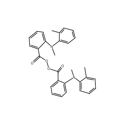 Cc1ccccc1N(C)c1ccccc1C(=O)OOC(=O)c1ccccc1N(C)c1ccccc1C